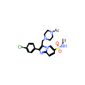 CCNS(=O)(=O)c1ccc2nc(-c3ccc(Cl)cc3)c(CN3CCN(C(C)=O)CC3)n2c1